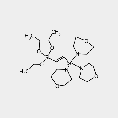 CCO[Si](C=C[Si](N1CCOCC1)(N1CCOCC1)N1CCOCC1)(OCC)OCC